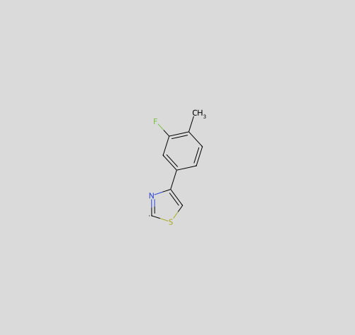 Cc1ccc(-c2cs[c]n2)cc1F